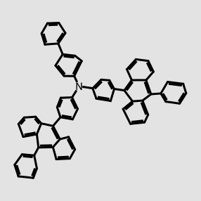 c1ccc(-c2ccc(N(c3ccc(-c4c5ccccc5c(-c5ccccc5)c5ccccc45)cc3)c3ccc(-c4c5ccccc5c(-c5ccccc5)c5ccccc45)cc3)cc2)cc1